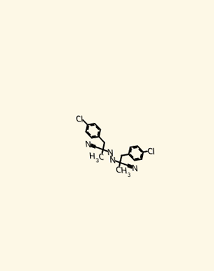 CC(C#N)(Cc1ccc(Cl)cc1)N=NC(C)(C#N)Cc1ccc(Cl)cc1